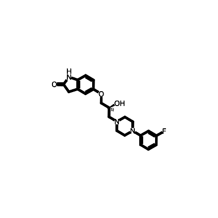 O=C1Cc2cc(OC[C@@H](O)CN3CCN(c4cccc(F)c4)CC3)ccc2N1